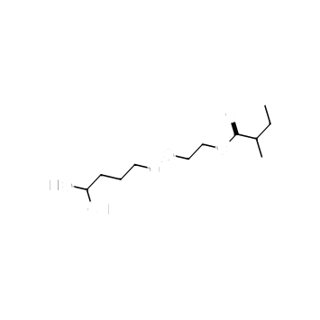 CCC(C)C(=O)OCCOOCCCC(O)O